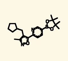 Cc1noc(-c2ccc(B3OC(C)(C)C(C)(C)O3)cn2)c1C[C]1CCCC1